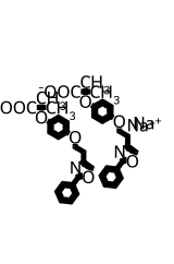 CC(C)(Oc1ccc(OCCc2coc(-c3ccccc3)n2)cc1)C(=O)[O-].CC(C)(Oc1ccc(OCCc2coc(-c3ccccc3)n2)cc1)C(=O)[O-].[Na+].[Na+]